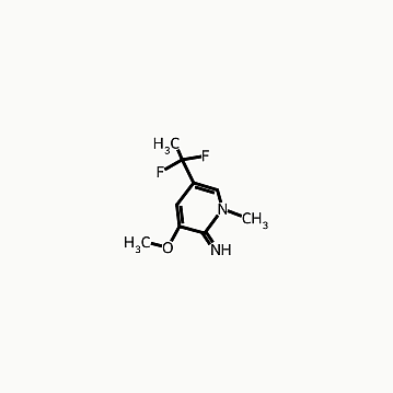 COc1cc(C(C)(F)F)cn(C)c1=N